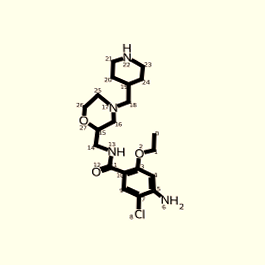 CCOc1cc(N)c(Cl)cc1C(=O)NCC1CN(CC2CCNCC2)CCO1